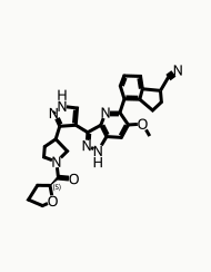 COc1cc2[nH]nc(-c3c[nH]nc3C3CCN(C(=O)[C@@H]4CCCO4)C3)c2nc1-c1cccc2c1CCC2C#N